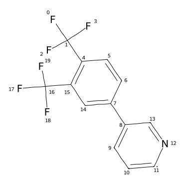 FC(F)(F)c1ccc(-c2cc[c]nc2)cc1C(F)(F)F